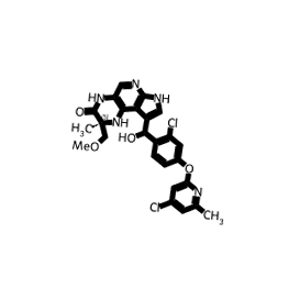 COC[C@]1(C)Nc2c(cnc3[nH]cc(C(O)c4ccc(Oc5cc(Cl)cc(C)n5)cc4Cl)c23)NC1=O